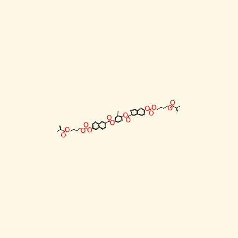 C=C(C)C(=O)OCCCCOC(=O)Oc1ccc2cc(C(=O)Oc3ccc(OC(=O)c4ccc5cc(OC(=O)OCCCCOC(=O)C(=C)C)ccc5c4)c(C)c3)ccc2c1